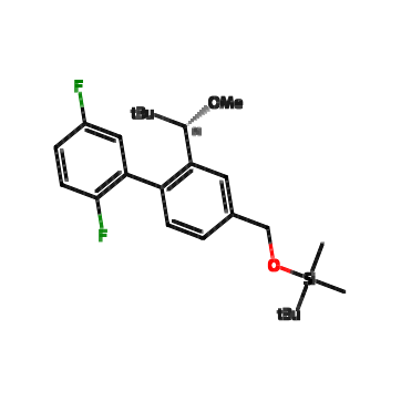 CO[C@H](c1cc(CO[Si](C)(C)C(C)(C)C)ccc1-c1cc(F)ccc1F)C(C)(C)C